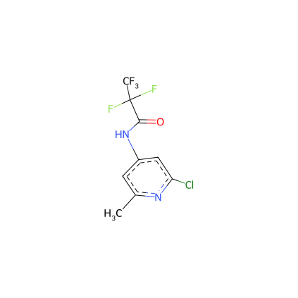 Cc1cc(NC(=O)C(F)(F)C(F)(F)F)cc(Cl)n1